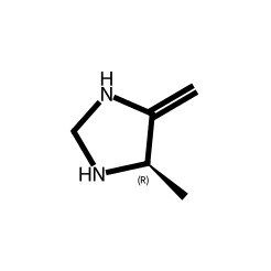 C=C1NCN[C@@H]1C